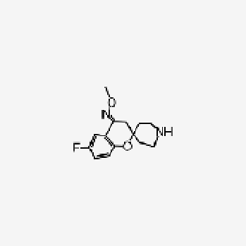 CO/N=C1\CC2(CCNCC2)Oc2ccc(F)cc21